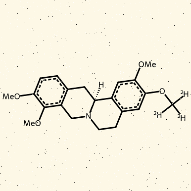 [2H]C([2H])([2H])Oc1cc2c(cc1OC)[C@@H]1Cc3ccc(OC)c(OC)c3CN1CC2